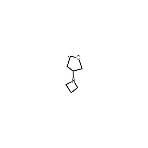 [CH]1CC(N2CCC2)CO1